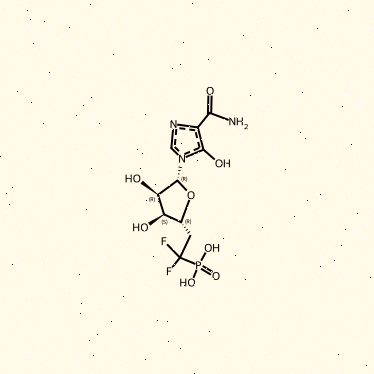 NC(=O)c1ncn([C@@H]2O[C@H](CC(F)(F)P(=O)(O)O)[C@@H](O)[C@H]2O)c1O